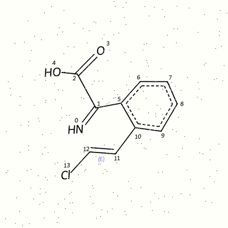 N=C(C(=O)O)c1ccccc1/C=C/Cl